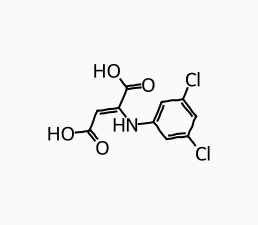 O=C(O)/C=C(\Nc1cc(Cl)cc(Cl)c1)C(=O)O